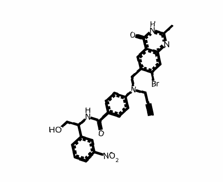 C#CCN(Cc1cc2c(=O)[nH]c(C)nc2cc1Br)c1ccc(C(=O)NC(CO)c2cccc([N+](=O)[O-])c2)cc1